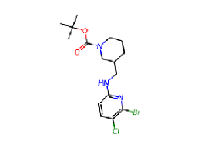 CC(C)(C)OC(=O)N1CCCC(CNc2ccc(Cl)c(Br)n2)C1